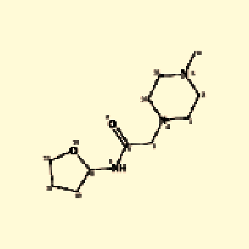 CN1CCN(CC(=O)NC2CCCO2)CC1